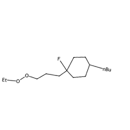 [CH2+][CH-]CCC1CCC(F)(CCCOOCC)CC1